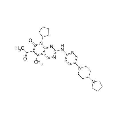 CC(=O)c1c(C)c2cnc(Nc3ccc(N4CCC(N5CCCC5)CC4)cn3)nc2n(C2CCCC2)c1=O